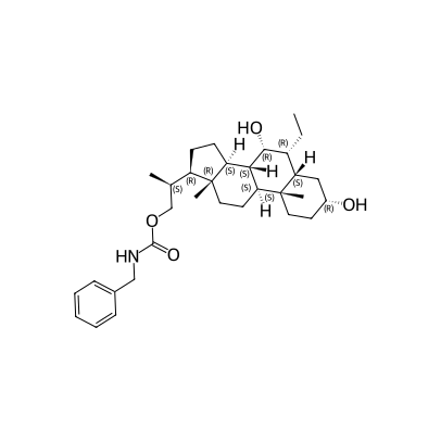 CC[C@H]1[C@@H](O)[C@@H]2[C@H](CC[C@]3(C)[C@@H]([C@H](C)COC(=O)NCc4ccccc4)CC[C@@H]23)[C@@]2(C)CC[C@@H](O)C[C@@H]12